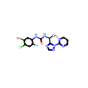 CC(NC(=O)Nc1cc(Br)c(Cl)cc1F)c1ncnn1-c1ncccn1